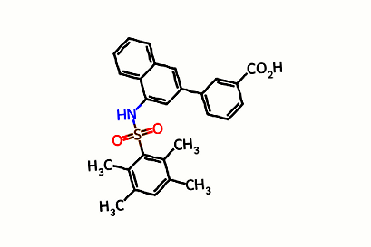 Cc1cc(C)c(C)c(S(=O)(=O)Nc2cc(-c3cccc(C(=O)O)c3)cc3ccccc23)c1C